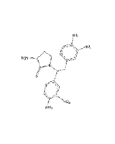 Nc1ccc(CC(c2ccc(N)c([N+](=O)[O-])c2)N2CCC(N)C2=O)cc1[N+](=O)[O-]